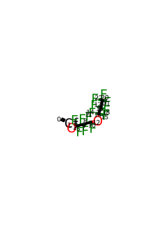 [CH2]=[Cf][O]C(F)(F)C(F)(F)C(F)(F)OC(F)(F)C(F)(F)C(F)(F)F